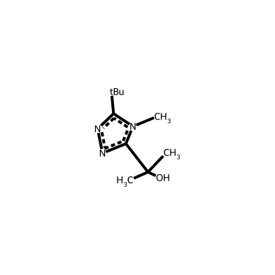 Cn1c(C(C)(C)C)nnc1C(C)(C)O